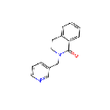 O=C1c2ccccc2CCN1Cc1cccnc1